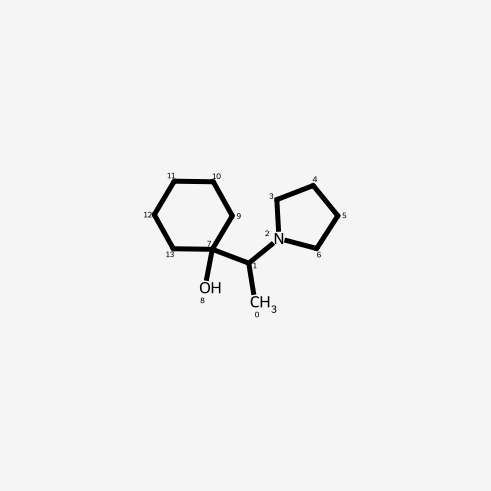 CC(N1CCCC1)C1(O)CCCCC1